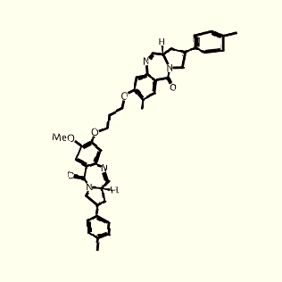 COc1cc2c(cc1OCCCOc1cc3c(cc1C)C(=O)N1CC(c4ccc(C)cc4)C[C@H]1C=N3)N=C[C@@H]1CC(c3ccc(C)cc3)CN1C2=O